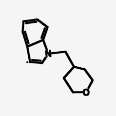 [c]1cn(CC2CCOCC2)c2ccccc12